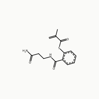 C=C(C)C(=O)Sc1ccccc1C(=O)NCCC(N)=O